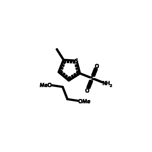 COCCOC.Cc1ccc(S(N)(=O)=O)s1